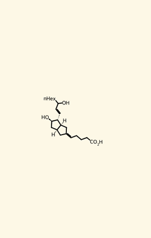 CCCCCCC(O)/C=C/[C@@H]1[C@H]2C/C(=C\CCCC(=O)O)C[C@H]2C[C@H]1O